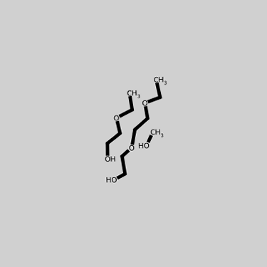 CCOCCO.CCOCCOCCO.CO